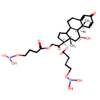 C[C@]12C=CC(=O)C=C1CCC1C3CC[C@](OC(=O)CCCON(O)O)(C(=O)COC(=O)CCCON(O)O)[C@@]3(C)C[C@H](O)[C@@H]12